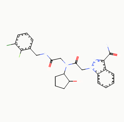 NC(=O)c1nn(CC(=O)N(CC(=O)NCc2cccc(Cl)c2F)C2CCCC2O)c2ccccc12